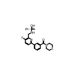 CC(C)[C@@](C)(O)NCc1nc(-c2cccc(C(=O)N3CCSCC3)c2)ccc1F